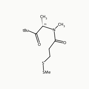 CSSCCC(=O)N(C)[C@@H](C)C(=O)C(C)(C)C